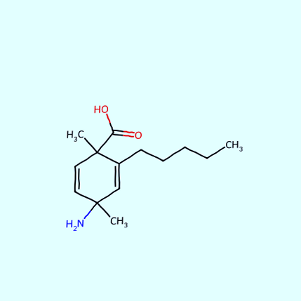 CCCCCC1=CC(C)(N)C=CC1(C)C(=O)O